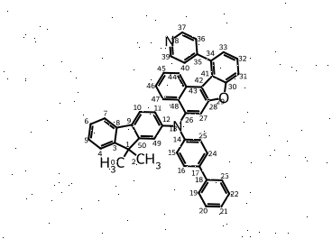 CC1(C)c2ccccc2-c2ccc(N(c3ccc(-c4ccccc4)cc3)c3cc4oc5cccc(-c6ccncc6)c5c4c4ccccc34)cc21